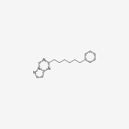 [c]1nc(CCCCCCc2ccccc2)nc2ccnn12